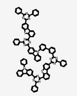 c1ccc(-c2nc(-c3cccc(-c4cccc(-n5c6ccccc6c6ccc(-c7nc(-c8ccccc8)nc(-c8cccc9c8sc8ccc(-c%10nc(-c%11ccccc%11)nc(-c%11ccccc%11)n%10)cc89)n7)cc65)c4)c3)nc(-c3ccc4sc5c(-c6nc(-c7ccccc7)nc(-c7ccc8c(c7)c7ccccc7n8-c7ccccc7)n6)cccc5c4c3)n2)cc1